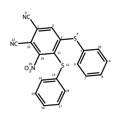 N#Cc1cc(Sc2ccccc2)c(Sc2ccccc2)c([N+](=O)[O-])c1C#N